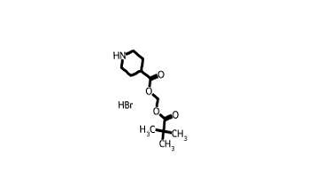 Br.CC(C)(C)C(=O)OCOC(=O)C1CCNCC1